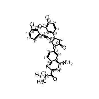 CN(C)C(=O)c1nc(N)c2cc(N3C[C@@H](c4ccc(Cl)c(Oc5c(Cl)cccc5C#N)c4)CC3=O)ccc2n1